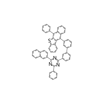 c1ccc(-c2nc(-c3cccc(-c4cccc(-c5c6ccccc6c(-c6ccccc6)c6sc7ccccc7c56)c4)c3)nc(-c3ccc4ccccc4c3)n2)cc1